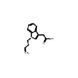 C=CCCn1cc(CC(=O)O)c2ccccc21